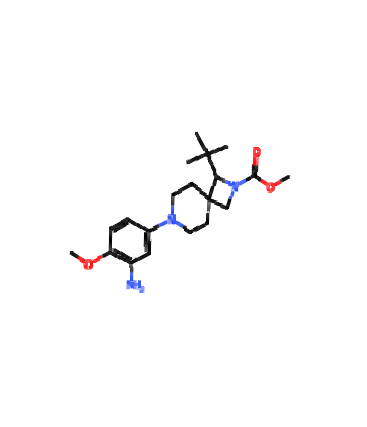 COC(=O)N1CC2(CCN(c3ccc(OC)c(N)c3)CC2)C1C(C)(C)C